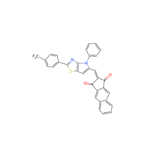 O=C1C(=Cc2cc3sc(-c4ccc(C(F)(F)F)cc4)nc3n2-c2ccccc2)C(=O)c2cc3ccccc3cc21